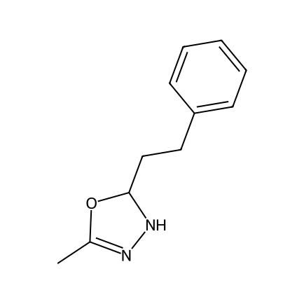 CC1=NNC(CCc2ccccc2)O1